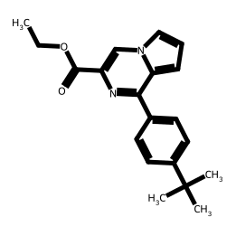 CCOC(=O)c1cn2cccc2c(-c2ccc(C(C)(C)C)cc2)n1